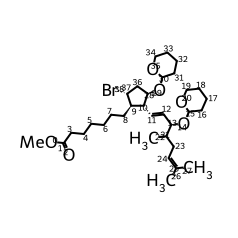 COC(=O)CCCCCC[C@@H]1[C@@H](C=C[C@@H](OC2CCCCO2)C(C)CC=C(C)C)[C@H](OC2CCCCO2)C[C@H]1Br